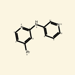 CC(C)c1ccnc(Nc2cccnc2)c1